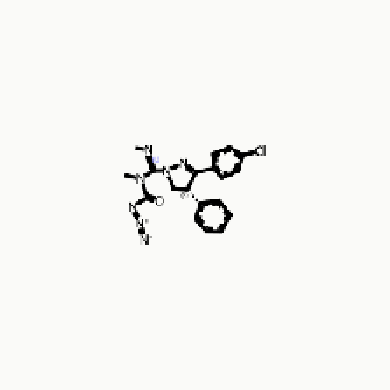 C/N=C(/N1C[C@@H](c2ccccc2)C(c2ccc(Cl)cc2)=N1)N(C)C(=O)N=[N+]=[N-]